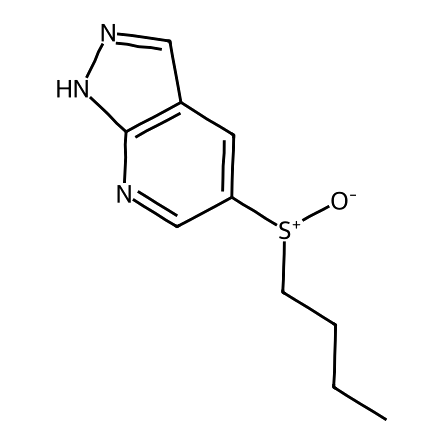 CCCC[S+]([O-])c1cnc2[nH]ncc2c1